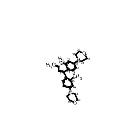 C=CC=C(c1ccc(N2CCOCC2)cc1C)c1ccc(N2CCOCC2)cc1C